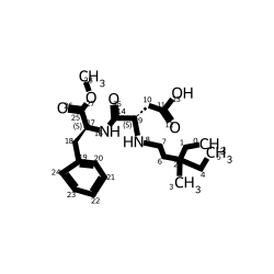 CCC(C)(CC)CCN[C@@H](CC(=O)O)C(=O)N[C@@H](Cc1ccccc1)C(=O)OC